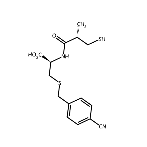 C[C@H](CS)C(=O)N[C@@H](CSCc1ccc(C#N)cc1)C(=O)O